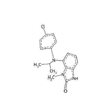 CC(C)N(c1ccc(Cl)cc1)c1cccc2[nH]c(=O)n(C)c12